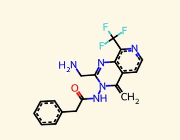 C=C1c2ccnc(C(F)(F)F)c2N=C(CN)N1NC(=O)Cc1ccccc1